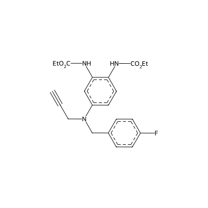 C#CCN(Cc1ccc(F)cc1)c1ccc(NC(=O)OCC)c(NC(=O)OCC)c1